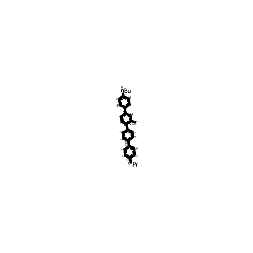 CCCCc1ccc(-c2ccc(-c3ccc(-c4ccc(CCC)cc4)cc3)c(F)c2)cc1